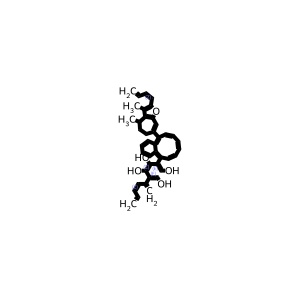 C=C/C=C\C(=C)C(=C\O)/C(O)=C(O)\C(=C\O)c1ccccccc(C2=Cc3oc(/C=C\C=C)c(C)c3C(C)CC2)c2ccccc12